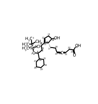 CC(C)(C)[Si](C)(C)OC(CCC1=CCC(O)[C@@H]1CCC=C=CCC(=O)O)C1CCCCC1